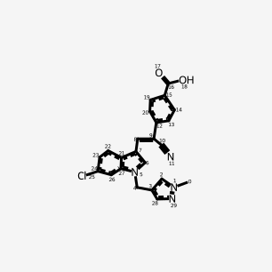 Cn1cc(Cn2cc(C=C(C#N)c3ccc(C(=O)O)cc3)c3ccc(Cl)cc32)cn1